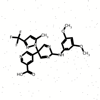 COc1cc(NC2N=CC(c3cncc(C(=O)O)c3)(n3nc(C(F)(F)F)cc3C)C=N2)cc(OC)c1